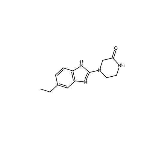 CCc1ccc2[nH]c(N3CCNC(=O)C3)nc2c1